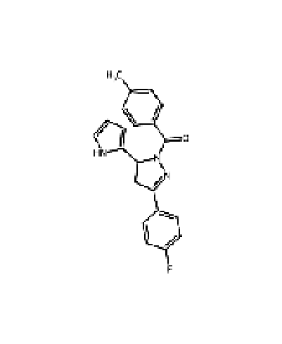 Cc1ccc(C(=O)N2N=C(c3ccc(F)cc3)CC2c2ccc[nH]2)cc1